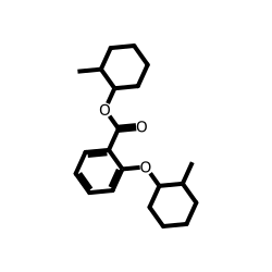 CC1CCCCC1OC(=O)c1ccccc1OC1CCCCC1C